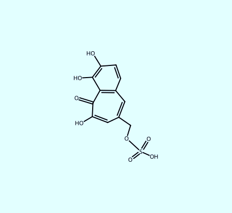 O=c1c(O)cc(COS(=O)(=O)O)cc2ccc(O)c(O)c12